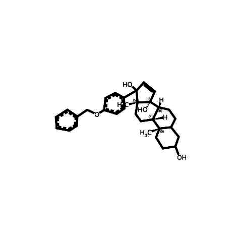 C[C@]12CCC(O)CC1CC[C@@H]1[C@H]2CC[C@]2(C)C(O)(c3ccc(OCc4ccccc4)cc3)C=C[C@@]12O